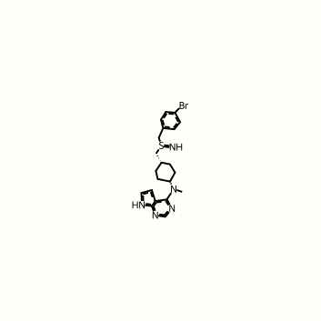 CN(c1ncnc2[nH]ccc12)[C@H]1CC[C@@H](CS(=N)Cc2ccc(Br)cc2)CC1